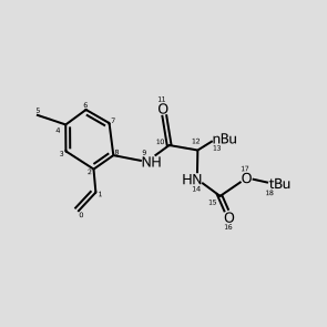 C=Cc1cc(C)ccc1NC(=O)C(CCCC)NC(=O)OC(C)(C)C